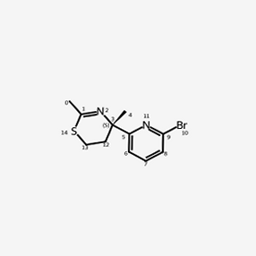 CC1=N[C@](C)(c2cccc(Br)n2)CCS1